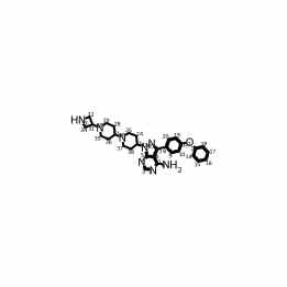 Nc1ncnc2c1c(-c1ccc(Oc3ccccc3)cc1)nn2C1CCN(C2CCN(C3CNC3)CC2)CC1